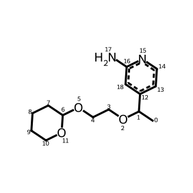 CC(OCCOC1CCCCO1)c1ccnc(N)c1